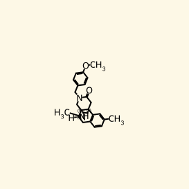 COc1ccc(CN2C[C@H]3[C@H]4Cc5ccc(C)cc5[C@@]3(CCN4C)CC2=O)cc1